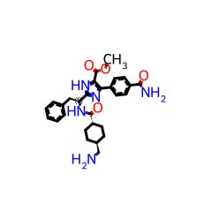 COC(=O)c1[nH]c([C@H](Cc2ccccc2)NC(=O)[C@H]2CC[C@H](CN)CC2)nc1-c1ccc(C(N)=O)cc1